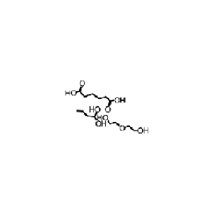 CCCC(O)O.O=C(O)CCCCC(=O)O.OCCOCCO